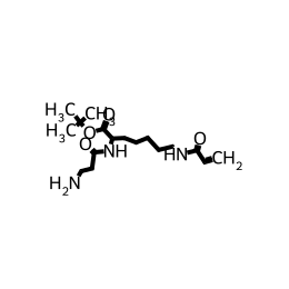 C=CC(=O)NCCCCCC(NC(=O)CCN)C(=O)OC(C)(C)C